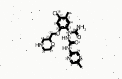 Cc1cnc(NC(=O)NN(C(N)=O)c2cc(C)c(Cl)cc2OCC2CNCCO2)cn1